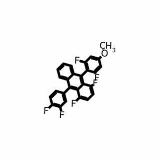 COc1cc(F)c(-c2c3ccccc3c(-c3ccc(F)c(F)c3)c3c(F)ccc(F)c23)c(F)c1